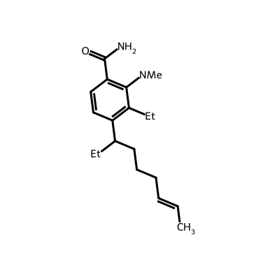 CC=CCCCC(CC)c1ccc(C(N)=O)c(NC)c1CC